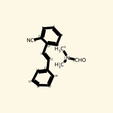 CN(C)C=O.N#Cc1ccccc1C=Cc1ccccc1